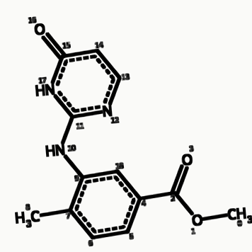 COC(=O)c1ccc(C)c(Nc2nccc(=O)[nH]2)c1